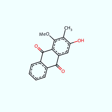 COc1c(C)c(O)cc2c1C(=O)c1ccccc1C2=O